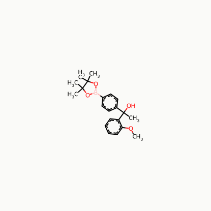 COc1ccccc1C(C)(O)c1ccc(B2OC(C)(C)C(C)(C)O2)cc1